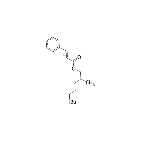 CCC(C)CCCC(C)COC(=O)/C=C/c1ccccc1